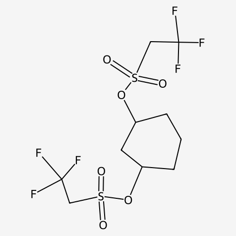 O=S(=O)(CC(F)(F)F)OC1CCCC(OS(=O)(=O)CC(F)(F)F)C1